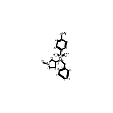 CC(C)c1ccc(S(=O)(=O)N(Cc2ccccc2)C2CCN(C)C2)cc1